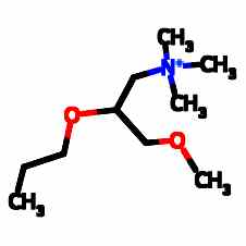 CCCOC(COC)C[N+](C)(C)C